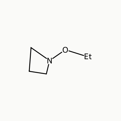 CCON1CCC1